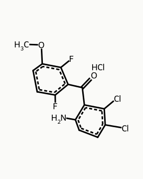 COc1ccc(F)c(C(=O)c2c(N)ccc(Cl)c2Cl)c1F.Cl